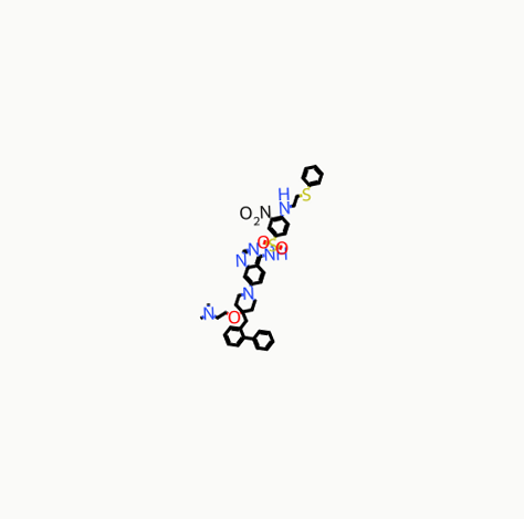 CN(C)CCOC1(Cc2ccccc2-c2ccccc2)CCN(c2ccc3c(NS(=O)(=O)c4ccc(NCCSc5ccccc5)c([N+](=O)[O-])c4)ncnc3c2)CC1